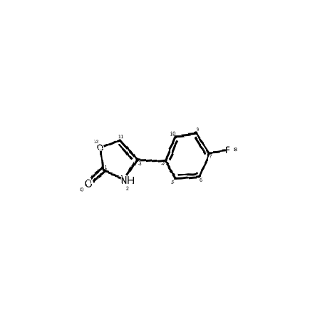 O=c1[nH]c(-c2ccc(F)cc2)co1